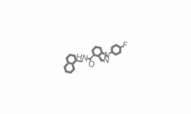 O=C(NCc1cccc2ccccc12)c1cccc2c1cnn2-c1ccc(F)cc1